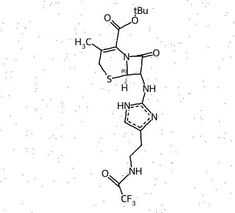 CC1=C(C(=O)OC(C)(C)C)N2C(=O)C(Nc3nc(CCNC(=O)C(F)(F)F)c[nH]3)[C@H]2SC1